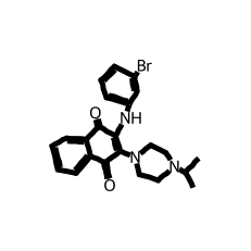 CC(C)N1CCN(C2=C(Nc3cccc(Br)c3)C(=O)c3ccccc3C2=O)CC1